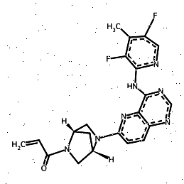 C=CC(=O)N1C[C@@H]2C[C@H]1CN2c1ccc2ncnc(Nc3ncc(F)c(C)c3F)c2n1